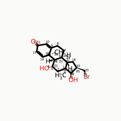 C[C@]12C[C@H](O)[C@H]3[C@@H](CCC4=CC(=O)C=C[C@@]43C)[C@@H]1C[C@@H](CBr)[C@H]2O